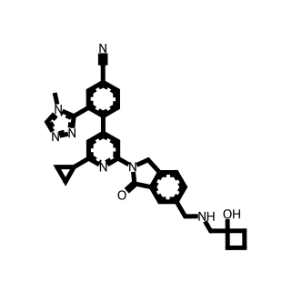 Cn1cnnc1-c1cc(C#N)ccc1-c1cc(C2CC2)nc(N2Cc3ccc(CNCC4(O)CCC4)cc3C2=O)c1